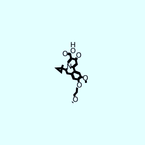 COCCCOc1cc2c(cc1OC)-c1cc(=O)c(C(=O)O)cn1C(C1(C)CC1)C2